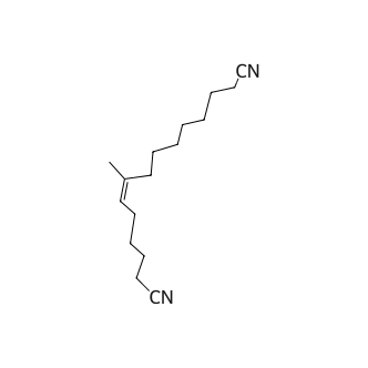 CC(=CCCCCC#N)CCCCCCCC#N